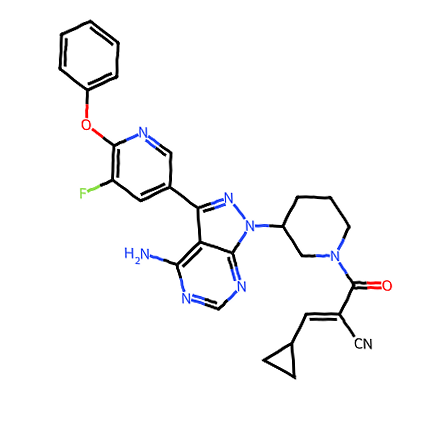 N#CC(=CC1CC1)C(=O)N1CCCC(n2nc(-c3cnc(Oc4ccccc4)c(F)c3)c3c(N)ncnc32)C1